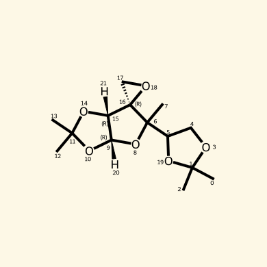 CC1(C)OCC(C2(C)O[C@@H]3OC(C)(C)O[C@@H]3[C@]23CO3)O1